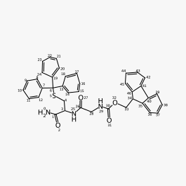 NC(=O)C(CSC(c1ccccc1)(c1ccccc1)c1ccccc1)NC(=O)CNC(=O)OCC1c2ccccc2-c2ccccc21